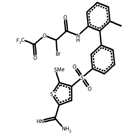 CSc1sc(C(=N)N)cc1S(=O)(=O)c1cccc(-c2c(C)cccc2NC(=O)C(Br)OC(=O)C(F)(F)F)c1